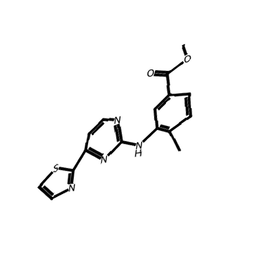 COC(=O)c1ccc(C)c(Nc2nccc(-c3nccs3)n2)c1